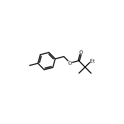 CCC(C)(C)C(=O)OCc1ccc(C)cc1